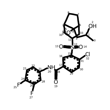 CC(O)CC1(O)C2CCC1CC(S(=O)(=O)c1cc(C(=O)Nc3ccc(F)c(F)c3)ccc1Cl)C2